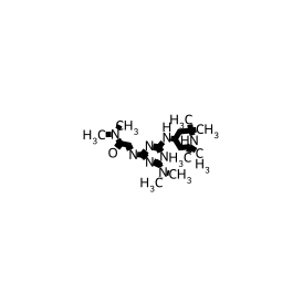 CN(C)C(=O)/C=N/c1nc(NC2CC(C)(C)NC(C)(C)C2)nc(N(C)C)n1